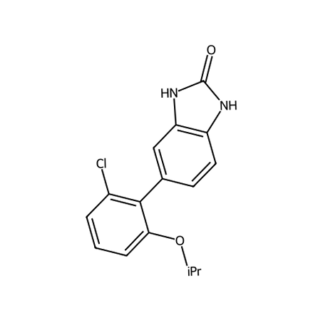 CC(C)Oc1cccc(Cl)c1-c1ccc2[nH]c(=O)[nH]c2c1